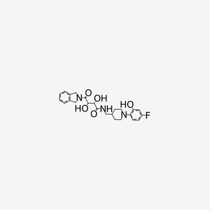 O=C(NCC1CCN(c2ccc(F)cc2O)CC1)C(O)[C@@H](O)C(=O)N1Cc2ccccc2C1